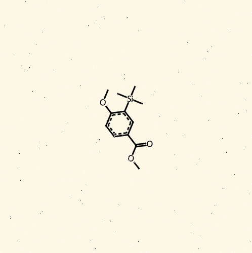 COC(=O)c1ccc(OC)c([Si](C)(C)C)c1